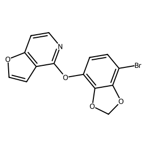 Brc1ccc(Oc2nccc3occc23)c2c1OCO2